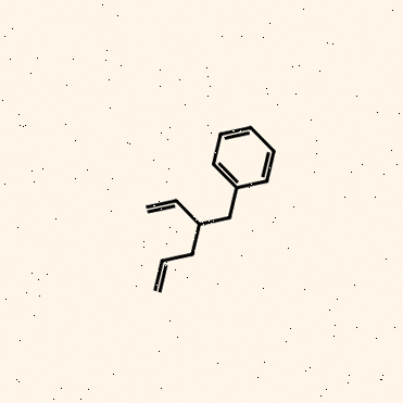 C=CC[C](C=C)Cc1ccccc1